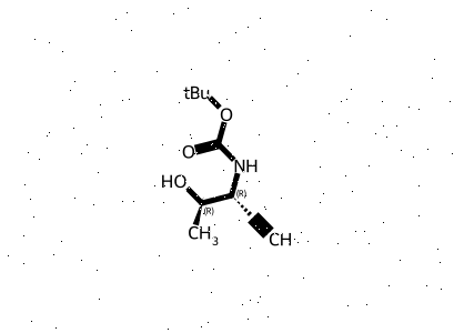 C#C[C@@H](NC(=O)OC(C)(C)C)[C@@H](C)O